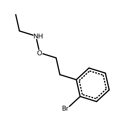 CCNOCCc1ccccc1Br